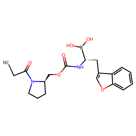 N#CCC(=O)N1CCC[C@@H]1COC(=O)N[C@@H](Cc1coc2ccccc12)B(O)O